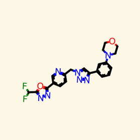 FC(F)c1nnc(-c2ccc(Cn3cc(-c4cccc(N5CCOCC5)c4)nn3)nc2)o1